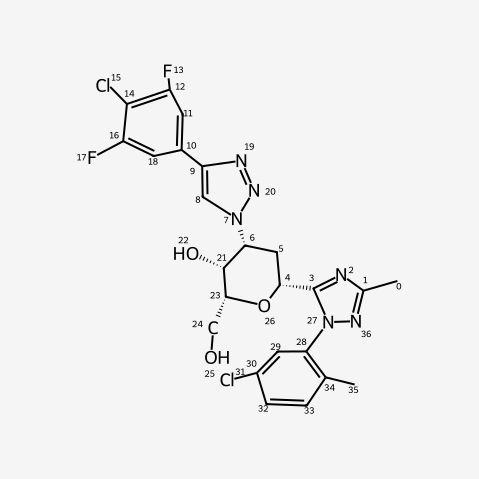 Cc1nc([C@H]2C[C@@H](n3cc(-c4cc(F)c(Cl)c(F)c4)nn3)[C@@H](O)[C@@H](CO)O2)n(-c2cc(Cl)ccc2C)n1